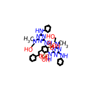 CN(CCO)c1nc(Nc2ccccc2)nc(Nc2cc(C=Cc3ccccc3)c(S(=O)(=O)O)c(Nc3nc(Nc4ccccc4)nc(N(C)CCO)n3)c2S(=O)(=O)O)n1